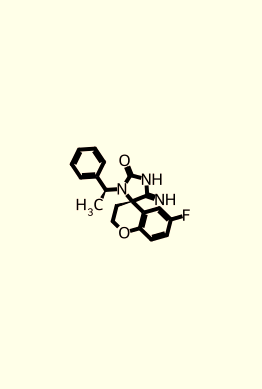 C[C@@H](c1ccccc1)N1C(=O)NC(=N)[C@@]12CCOc1ccc(F)cc12